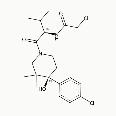 CC(C)[C@@H](NC(=O)CCl)C(=O)N1CC[C@](O)(c2ccc(Cl)cc2)C(C)(C)C1